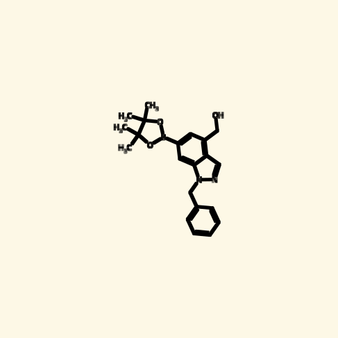 CC1(C)OB(c2cc(CO)c3cnn(Cc4ccccc4)c3c2)OC1(C)C